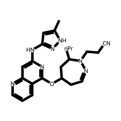 CCCC1CC(Oc2nc(Nc3cc(C)[nH]n3)cc3ncccc23)CC=NN1CCC#N